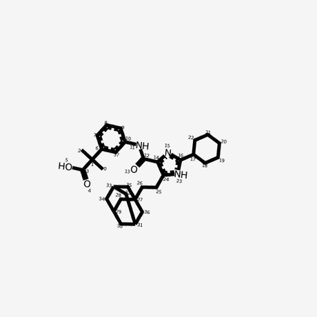 CC(C)(C(=O)O)c1cccc(NC(=O)c2nc(C3CCCCC3)[nH]c2CCC23CC4CC(CC(C4)C2)C3)c1